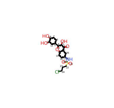 O=c1c(O)c(-c2ccc(O)c(O)c2)oc2ccc(NS(=O)(=O)CCCCl)cc12